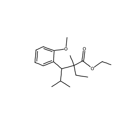 CCOC(=O)C(C)(CC)C(c1ccccc1OC)C(C)C